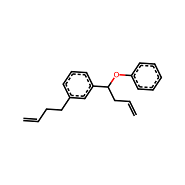 C=CCCc1cccc(C(CC=C)Oc2ccccc2)c1